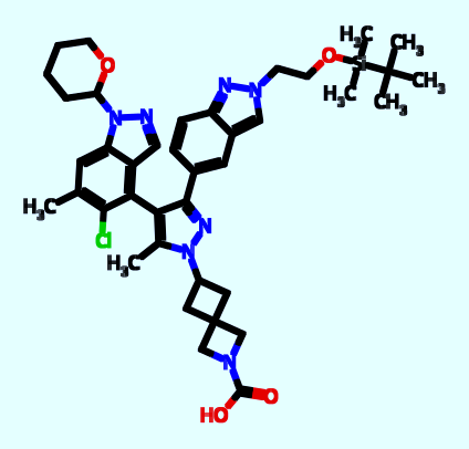 Cc1cc2c(cnn2C2CCCCO2)c(-c2c(-c3ccc4nn(CCO[Si](C)(C)C(C)(C)C)cc4c3)nn(C3CC4(C3)CN(C(=O)O)C4)c2C)c1Cl